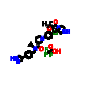 CC(C)(Oc1cc(N2CCC[C@@H](C(=O)N(Cc3ccc(-c4cn[nH]c4)cc3)C3CC3)C2)ccc1Cl)C(=O)N1CCNCC1.O=C(O)C(F)(F)F